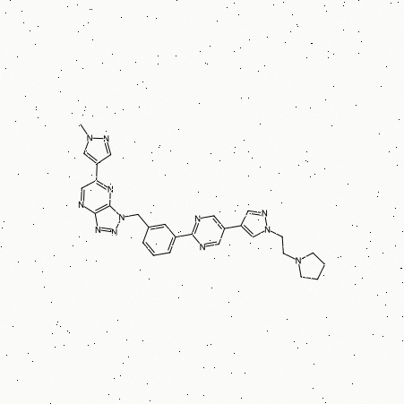 Cn1cc(-c2cnc3nnn(Cc4cccc(-c5ncc(-c6cnn(CCN7CCCC7)c6)cn5)c4)c3n2)cn1